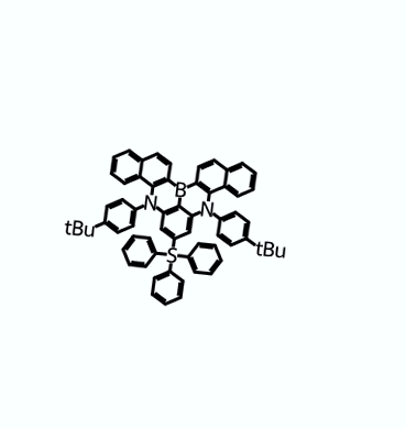 CC(C)(C)c1ccc(N2c3cc(S(c4ccccc4)(c4ccccc4)c4ccccc4)cc4c3B(c3ccc5ccccc5c32)c2ccc3ccccc3c2N4c2ccc(C(C)(C)C)cc2)cc1